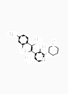 C/C(=C(/C)c1ccnc([C@@H]2CCCNC2)c1C)c1ccc(C#N)cc1O